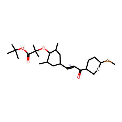 CSC1CCC(C(=O)/C=C/C2CC(C)C(OC(C)(C)C(=O)OC(C)(C)C)C(C)C2)CC1